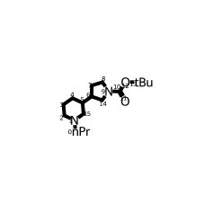 CCCN1CCCC(C2CCN(C(=O)OC(C)(C)C)C2)C1